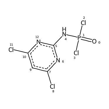 O=P(Cl)(Cl)Nc1nc(Cl)cc(Cl)n1